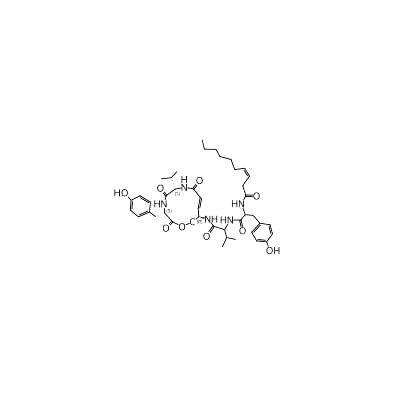 CCCCCC/C=C\CC(=O)NC(Cc1ccc(O)cc1)C(=O)NC(C(=O)N[C@@H]1/C=C/C(=O)N[C@@H](C(C)C)C(=O)N[C@@H](Cc2ccc(O)cc2)C(=O)OC1)C(C)C